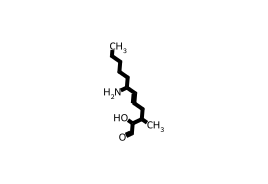 CCCCCC(N)/C=C/CC(C)C(O)C=O